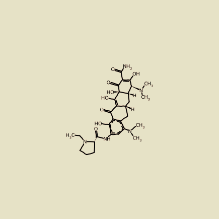 CCN1CCC[C@H]1C(=O)Nc1cc(N(C)C)c2c(c1O)C(=O)C1=C(O)[C@]3(O)C(=O)C(C(N)=O)=C(O)[C@@H](N(C)C)[C@@H]3C[C@@H]1C2